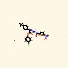 CC(C)(C)c1ccc(-c2nc(NC(=O)c3ccc([N+](=O)[O-])s3)sc2Oc2ccc(F)cc2)cc1